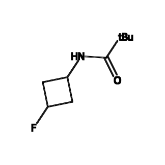 CC(C)(C)C(=O)NC1CC(F)C1